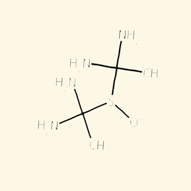 CC(N)(N)[S+]([O-])C(C)(N)N